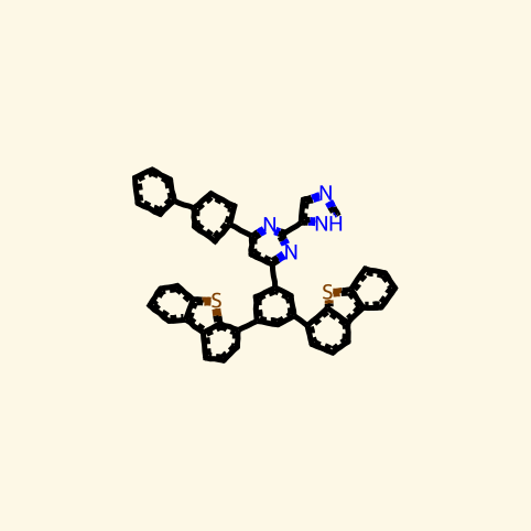 c1ccc(-c2ccc(-c3cc(-c4cc(-c5cccc6c5sc5ccccc56)cc(-c5cccc6c5sc5ccccc56)c4)nc(-c4cnc[nH]4)n3)cc2)cc1